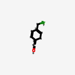 O=C=C1C=CC(CBr)=CC1